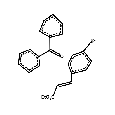 CCOC(=O)C=Cc1ccc(C(C)C)cc1.O=C(c1ccccc1)c1ccccc1